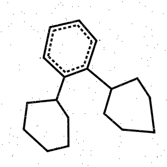 [c]1cc[c]c(C2CCCCC2)c1C1CCCCC1